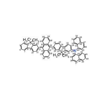 CC1(C)c2ccccc2-c2ccc(-c3c4ccccc4c(-c4ccc5c(c4)C(C)(C)c4cc(N(c6cccc7ccccc67)c6cccc7ccccc67)ccc4-5)c4ccccc34)cc21